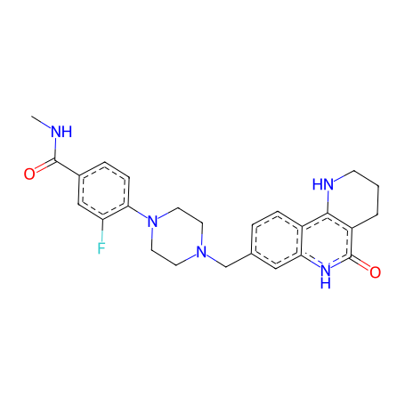 CNC(=O)c1ccc(N2CCN(Cc3ccc4c5c(c(=O)[nH]c4c3)CCCN5)CC2)c(F)c1